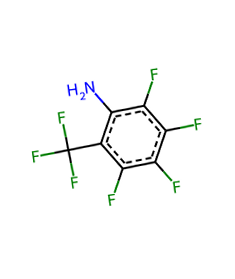 Nc1c(F)c(F)c(F)c(F)c1C(F)(F)F